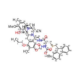 C=CCOc1c(C)c2c(c3c1CC1[C@H]4c5c(cc(C)c(OC)c5O)C[C@@H]([C@H](C#N)N1[C@H]3CNC(=O)[C@H](CSCC1c3ccccc3-c3ccccc31)NC(=O)OC(C)(C)C)N4C)OCO2